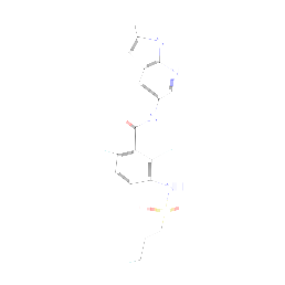 Cc1cc2cc(NC(=O)c3c(F)ccc(NS(=O)(=O)CCCF)c3F)cnc2[nH]1